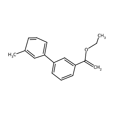 C=C(OCC)c1cccc(-c2cccc(C)c2)c1